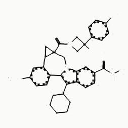 COc1ccc2c(c1)C1CC1(C(=O)N1CC(O)(c3ccc(F)cc3)C1)Cn1c-2c(C2CCCCC2)c2ccc(C(=O)NO)cc21